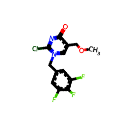 COCc1cn(Cc2cc(F)c(F)c(F)c2)c(Cl)nc1=O